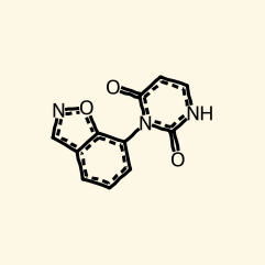 O=c1cc[nH]c(=O)n1-c1cccc2cnoc12